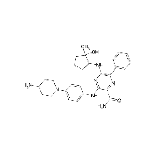 CC1(O)CCCC1Nc1nc(Nc2ccc(N3CCC(N)CC3)cc2)c(C(N)=O)nc1-c1ccccc1